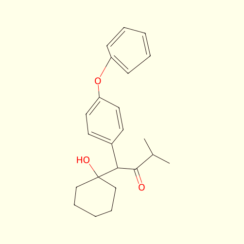 CC(C)C(=O)C(c1ccc(Oc2ccccc2)cc1)C1(O)CCCCC1